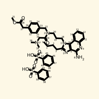 CCCCc1nc2c(N)nc3ccccc3c2n1CCCN(Cc1ccc(CC(=O)OC)cc1)C(=O)CN(C)C.O=S(=O)(O)c1ccccc1.O=S(=O)(O)c1ccccc1